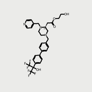 O=C(C[C@H]1CN(Cc2ccc(-c3ccc(C(O)(C(F)(F)F)C(F)(F)F)cc3)cc2)CCN1Cc1ccncc1)OCCO